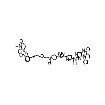 CC[C@@H]1C(=O)N(C)c2cnc(Nc3ccc(-c4cn([C@H]5CC[C@@H](NCCOCCC#Cc6cccc7c6CN(C6CCC(=O)NC6=O)C7=O)CC5)nn4)nc3)nc2N1C1CCCC1